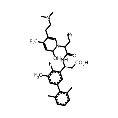 Cc1cccc(C)c1-c1cc([C@H](CC(=O)O)NC(=O)C(CC(C)C)N2C=C(CCN(C)C)C(C(F)(F)F)=CC2O)c(F)c(C(F)(F)F)c1